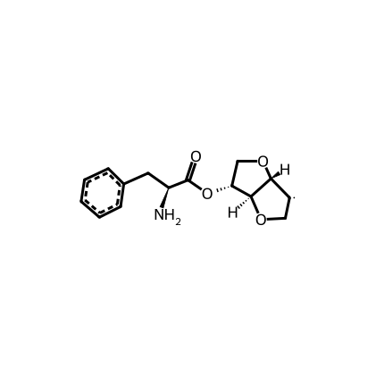 N[C@@H](Cc1ccccc1)C(=O)O[C@@H]1CO[C@@H]2[CH]CO[C@H]21